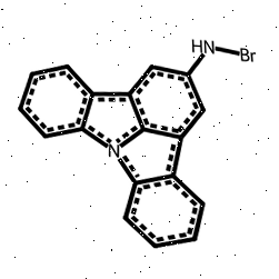 BrNc1cc2c3ccccc3n3c4ccccc4c(c1)c23